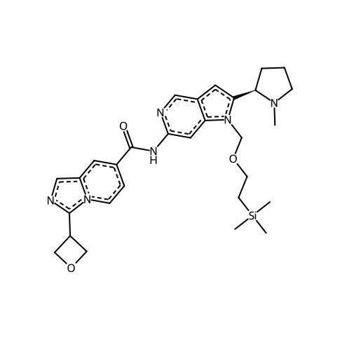 CN1CCC[C@@H]1c1cc2cnc(NC(=O)c3ccn4c(C5COC5)ncc4c3)cc2n1COCC[Si](C)(C)C